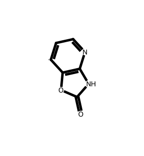 O=c1[nH]c2ncc[c]c2o1